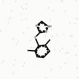 Cc1cccc(C)c1Sc1nc[nH]n1